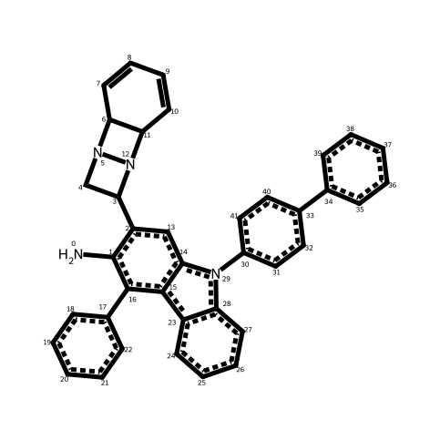 Nc1c(C2CN3C4C=CC=CC4N23)cc2c(c1-c1ccccc1)c1ccccc1n2-c1ccc(-c2ccccc2)cc1